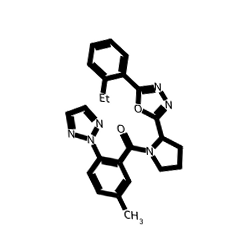 CCc1ccccc1-c1nnc(C2CCCN2C(=O)c2cc(C)ccc2-n2nccn2)o1